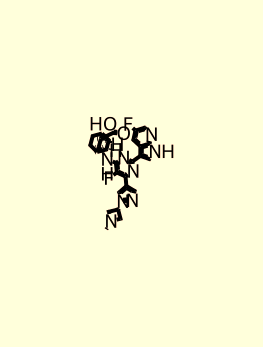 CN1CC(n2cc(-c3nc(-c4c[nH]c5ncc(F)cc45)nc(N[C@H]4C5CCC(CC5)[C@@H]4C(=O)O)c3F)cn2)C1